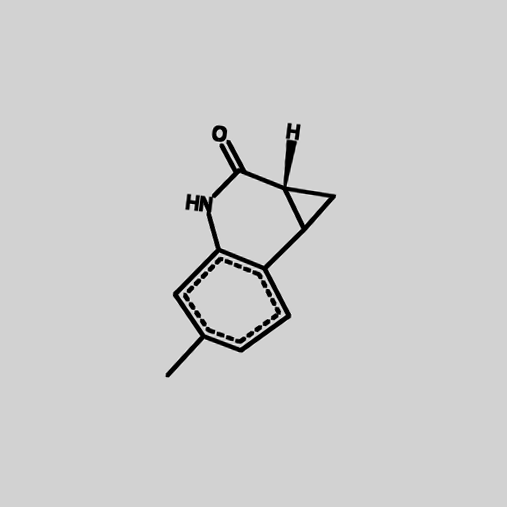 Cc1ccc2c(c1)NC(=O)[C@@H]1CC21